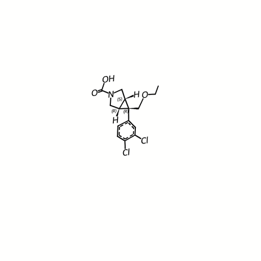 CCOC[C@@]1(c2ccc(Cl)c(Cl)c2)[C@@H]2CN(C(=O)O)C[C@@H]21